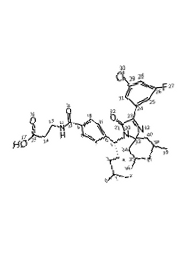 CC(C)CC[C@H](c1ccc(C(=O)NCCC(=O)O)cc1)N1C(=O)C(c2cc(F)cc(Cl)c2)=NC12CC(C)CC(C)C2